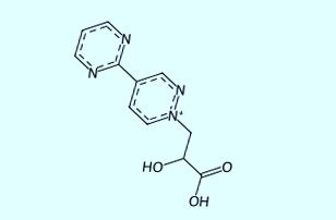 O=C(O)C(O)C[n+]1ccc(-c2ncccn2)cn1